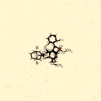 COC(=O)c1cc(OC)c2nc(N3[C@@H]4CC[C@H]3C[C@@H](OC(=O)c3c(-c5c(F)cccc5F)noc3C3CC3)C4)sc2c1